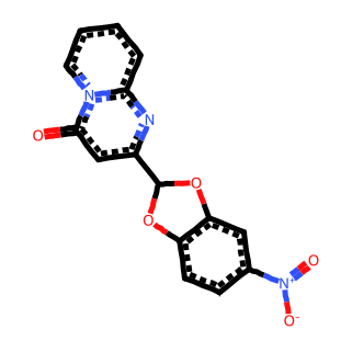 O=c1cc(C2Oc3c[c]c([N+](=O)[O-])cc3O2)nc2ccccn12